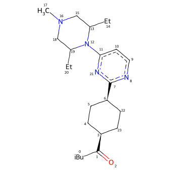 CCC(C)C(=O)[C@H]1CC[C@@H](c2nccc(N3C(CC)CN(C)CC3CC)n2)CC1